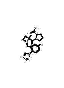 CC1(C(=O)N2CCC[C@H]2C(N)=O)CCN1Cc1cc(Cl)ccc1-n1cnnn1